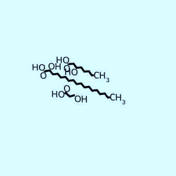 CCCCCC(O)CC(=O)O.CCCCCCCCCCCCCCCCC(O)C(=O)O.O=C(O)CCO